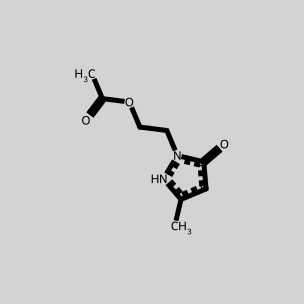 CC(=O)OCCn1[nH]c(C)cc1=O